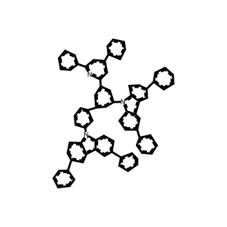 c1ccc(-c2cc(-c3ccccc3)nc(-c3cc(-c4cccc(-n5c6ccc(-c7ccccc7)cc6c6cc(-c7ccccc7)ccc65)c4)cc(-n4c5ccc(-c6ccccc6)cc5c5cc(-c6ccccc6)ccc54)c3)c2)cc1